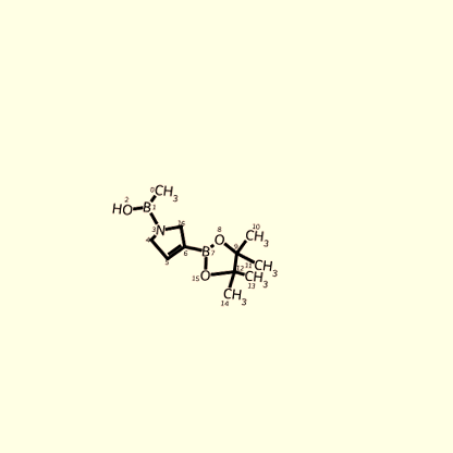 CB(O)N1CC=C(B2OC(C)(C)C(C)(C)O2)C1